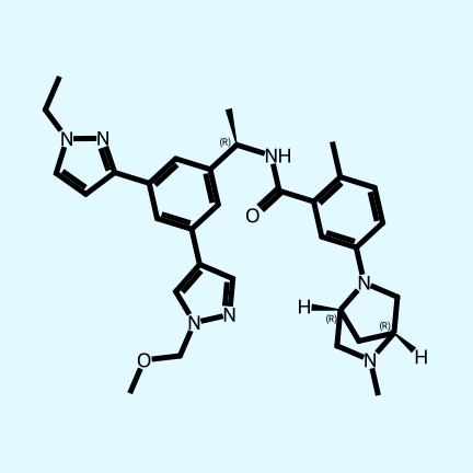 CCn1ccc(-c2cc(-c3cnn(COC)c3)cc([C@@H](C)NC(=O)c3cc(N4C[C@H]5C[C@@H]4CN5C)ccc3C)c2)n1